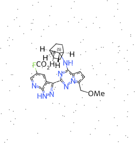 COCc1ccc2c(N[C@H]3[C@H]4CC[C@H](CC4)[C@@H]3C(=O)O)nc(-c3n[nH]c4ncc(F)cc34)nn12